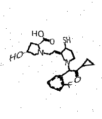 O=C(C1CC1)C(c1ccccc1F)N1CCC(S)/C(=C/CN2C[C@H](O)C[C@H]2C(=O)O)C1